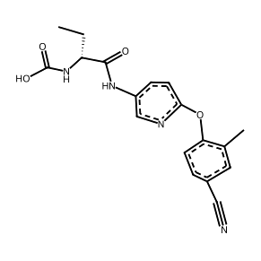 CC[C@@H](NC(=O)O)C(=O)Nc1ccc(Oc2ccc(C#N)cc2C)nc1